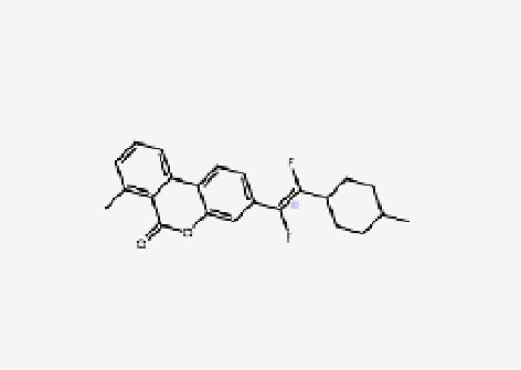 Cc1cccc2c1c(=O)oc1cc(/C(F)=C(\F)C3CCC(C)CC3)ccc12